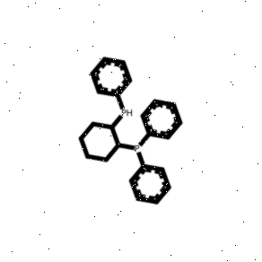 c1ccc(PC2CCCCC2P(c2ccccc2)c2ccccc2)cc1